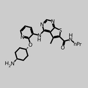 CCCNC(=O)c1sc2ncnc(Nc3cccnc3O[C@H]3CC[C@H](N)CC3)c2c1C